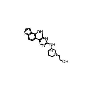 Cc1nc(N[C@@H]2CCCN(CCO)C2)nnc1-c1ccc2sccc2c1O